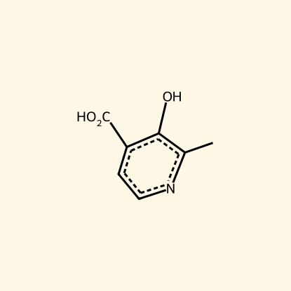 Cc1nccc(C(=O)O)c1O